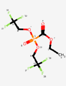 CCOC(=O)P(=O)(OCC(F)(F)F)OCC(F)(F)F